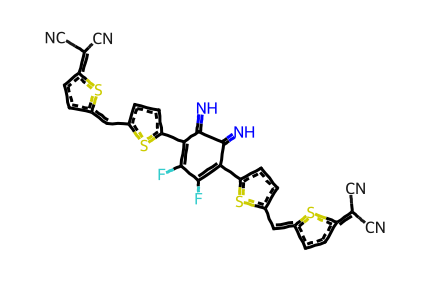 N#CC(C#N)=c1cc/c(=C/c2ccc(C3=C(F)C(F)=C(c4ccc(/C=c5/ccc(=C(C#N)C#N)s5)s4)C(=N)C3=N)s2)s1